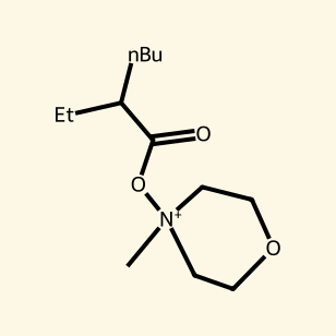 CCCCC(CC)C(=O)O[N+]1(C)CCOCC1